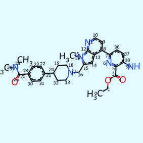 CCOC(=O)c1nc(-c2ccnc3c2cc(CN2CCC(c4ccc(C(=O)N(C)C)cc4)CC2)n3C)ccc1N